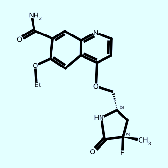 CCOc1cc2c(OC[C@@H]3C[C@](C)(F)C(=O)N3)ccnc2cc1C(N)=O